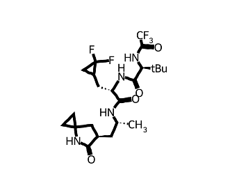 C[C@H](C[C@@H]1CC2(CC2)NC1=O)NC(=O)[C@H](CC1CC1(F)F)NC(=O)[C@@H](NC(=O)C(F)(F)F)C(C)(C)C